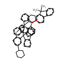 CC1(C)c2ccccc2-c2ccc(N(c3ccc4c(c3)C3(c5cc(C6CCCCC6)ccc5Oc5ccc(C6CCCCC6)cc53)c3ccccc3-4)c3ccccc3-n3c4ccccc4c4ccccc43)cc21